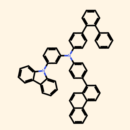 c1ccc(-c2ccccc2-c2ccc(N(c3ccc(-c4cccc5c4ccc4ccccc45)cc3)c3cccc(-n4c5ccccc5c5ccccc54)c3)cc2)cc1